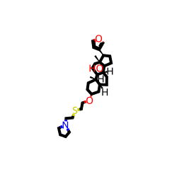 C[C@]12CC[C@H](OCCSCCN3CCCC3)C[C@H]1CC[C@@H]1[C@@H]2CC[C@]2(C)[C@@H](c3ccoc3)CC[C@]12O